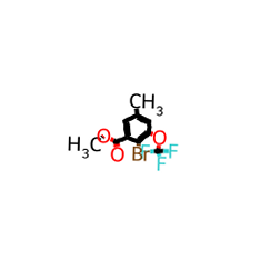 COC(=O)c1cc(C)cc(OC(F)(F)F)c1Br